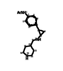 CC(=O)Nc1ccc(C2CC2NCC2CCNCC2)cc1